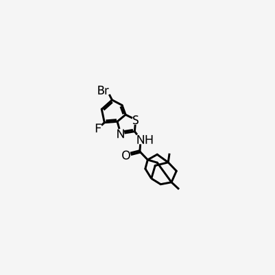 CC12CC3CC(C)(C1)CC(C(=O)Nc1nc4c(F)cc(Br)cc4s1)(C3)C2